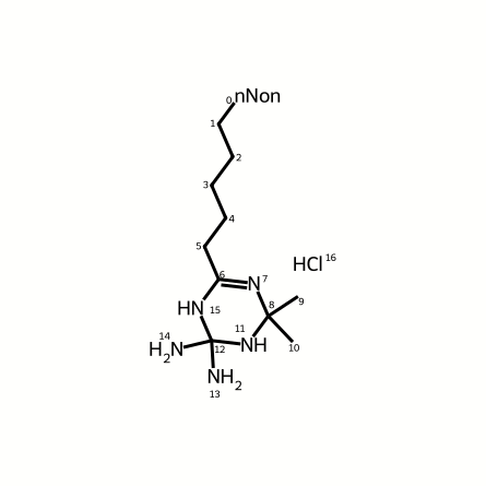 CCCCCCCCCCCCCCC1=NC(C)(C)NC(N)(N)N1.Cl